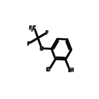 FC(F)(F)C(F)(F)Oc1cccc(S)c1Cl